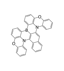 c1ccc2c(c1)Oc1cccc3c1N2c1cc2ccccc2c2c1B3c1cccc3c1N2c1ccccc1O3